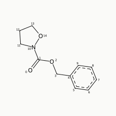 O=C(OCc1ccccc1)N1CCCO1